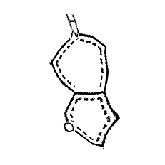 [c]1cc2c[nH]cc2o1